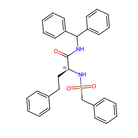 O=C(NC(c1ccccc1)c1ccccc1)[C@H](CCc1ccccc1)NS(=O)(=O)Cc1ccccc1